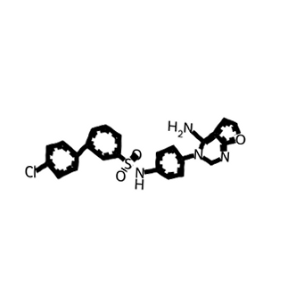 NC1=c2ccoc2=NCN1c1ccc(NS(=O)(=O)c2cccc(-c3ccc(Cl)cc3)c2)cc1